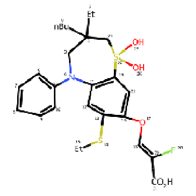 CCCCC1(CC)CN(c2ccccc2)c2cc(SCC)c(O/C=C(\F)C(=O)O)cc2S(O)(O)C1